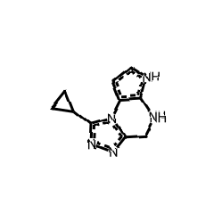 c1cc2c([nH]1)NCc1nnc(C3CC3)n1-2